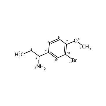 CC[C@@H](N)c1ccc(OC)c(Br)c1